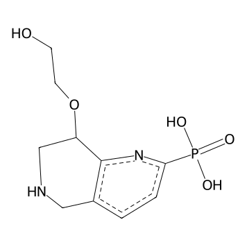 O=P(O)(O)c1ccc2c(n1)C(OCCO)CNC2